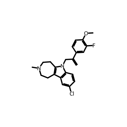 C=C(Cn1c2c(c3cc(Cl)ccc31)CCN(C)CC2)c1ccc(OC)c(F)c1